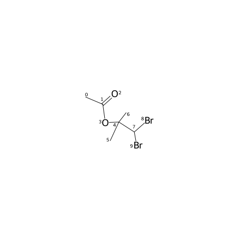 CC(=O)OC(C)(C)C(Br)Br